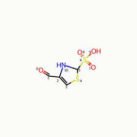 O=CC1=CSC(S(=O)(=O)O)N1